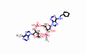 BP1(=O)OC[C@H]2O[C@@H](n3cnc4c(C)ncnc43)[C@H](OP(=O)(S)OC[C@H]3O[C@@H](n4cnc5c(NCc6ccccc6)ncnc54)[C@H](O)[C@@H]3O1)[C@@H]2O